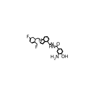 Nc1cc(C(=O)N/N=C/c2cccc3c2ccn3CC2CC(F)=CC=C2CF)ccc1O